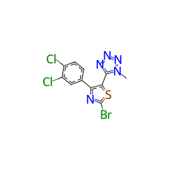 Cn1nnnc1-c1sc(Br)nc1-c1ccc(Cl)c(Cl)c1